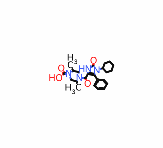 CC1CN(C(=O)c2[nH]c(=O)n(C3CCCCC3)c2-c2ccccc2)C(C)CN1C(=O)O